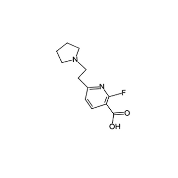 O=C(O)c1ccc(CCN2CCCC2)nc1F